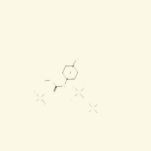 CCC12CCC(NC(=O)OC(C)(C)C)(CC1)CO2.F[B-](F)(F)F.F[B-](F)(F)F.F[B-](F)(F)F